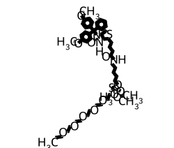 CCCOCCOCCOCCOCCOCCOP(=S)(OCCCCCNC(=O)CCCC1SCC2C1NC(=O)N2C(c1ccccc1)(c1ccc(OC)cc1)c1ccc(OC)cc1)OC(C)(C)C